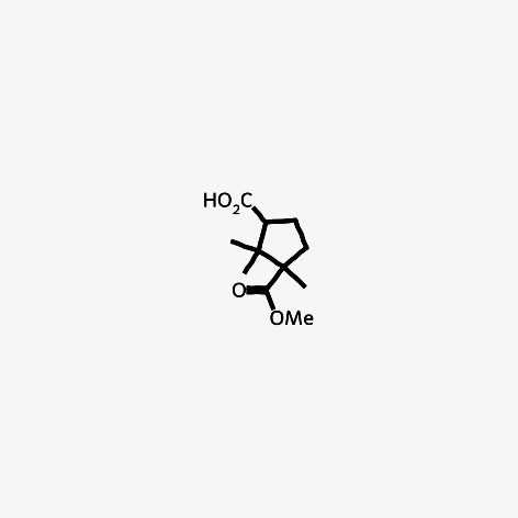 COC(=O)C1(C)CCC(C(=O)O)C1(C)C